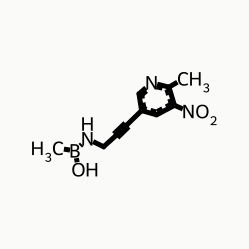 CB(O)NCC#Cc1cnc(C)c([N+](=O)[O-])c1